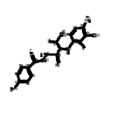 Cc1c(NC(C(=O)NNC(=O)c2ccc(Br)cc2)C(C)O)ccc(C#N)c1Cl